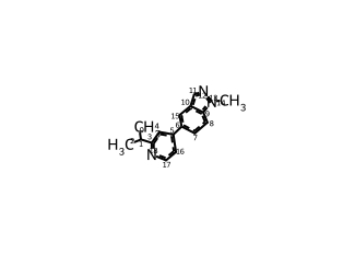 CC(C)c1cc(-c2ccc3c(cnn3C)c2)ccn1